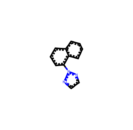 c1ccc2c(-n3nccn3)cccc2c1